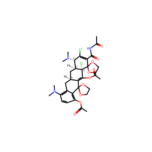 CC(=O)NC(=O)C1=C(Cl)[C@@H](N(C)C)[C@@H]2C[C@@H]3Cc4c(N(C)C)ccc(OC(C)=O)c4C4(OCCO4)C3=C(OC(C)=O)[C@]2(Cl)C12OCCO2